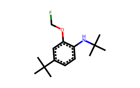 CC(C)(C)Nc1ccc(C(C)(C)C)cc1OCF